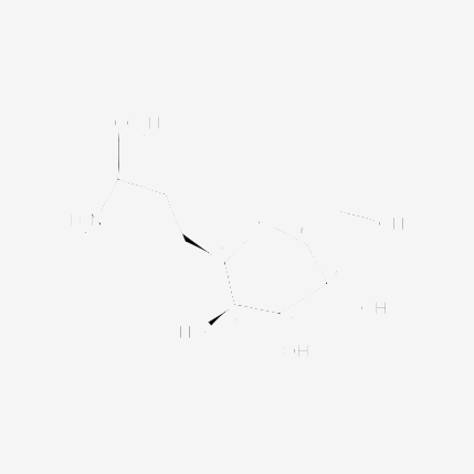 NC(CC[C@H]1O[C@H](CO)[C@H](O)[C@H](O)[C@H]1O)C(=O)O